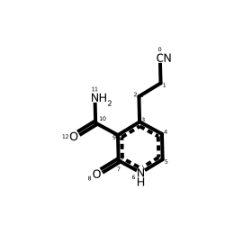 N#CC[CH]c1cc[nH]c(=O)c1C(N)=O